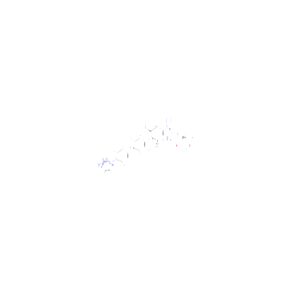 OC1COC[C@H]1Oc1nc2c(F)c(-c3ccc(-c4ccc(-n5ccnn5)cc4)cc3)c(F)cc2[nH]1